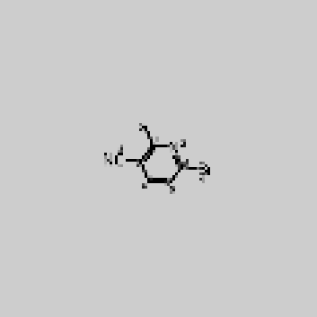 Cc1nc(Br)ccc1C#N